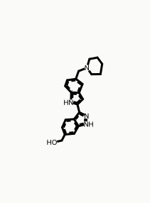 OCc1ccc2c(-c3cc4cc(CN5CCCCC5)ccc4[nH]3)n[nH]c2c1